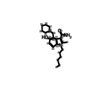 CCCCCCn1c(C)c(C(N)=O)c2c(CN3CCCCC3)c(O)ccc21